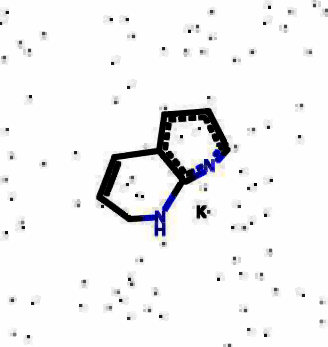 C1=Cc2cccnc2NC1.[K]